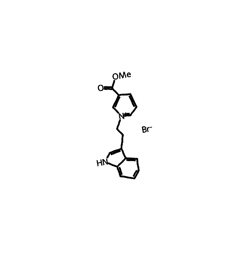 COC(=O)c1ccc[n+](CCc2c[nH]c3ccccc23)c1.[Br-]